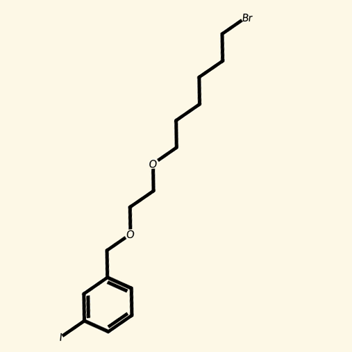 BrCCCCCCOCCOCc1cccc(I)c1